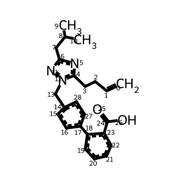 C=CCCc1nc(CC(C)C)nn1Cc1ccc(-c2ccccc2C(=O)O)cc1